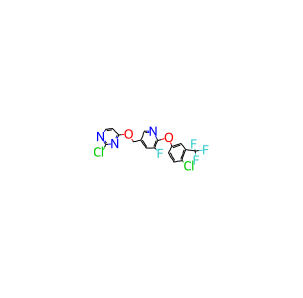 Fc1cc(COc2ccnc(Cl)n2)cnc1Oc1ccc(Cl)c(C(F)(F)F)c1